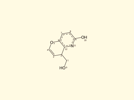 OCC1C=COc2ccc(O)nc21